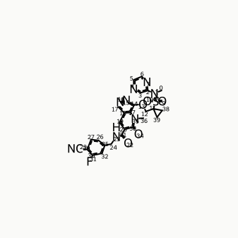 CN(c1cnccn1)S(=O)(=O)C1(COc2nncc3cc(C(=O)NCc4ccc(C#N)c(F)c4)c(=O)n(C)c23)CC1